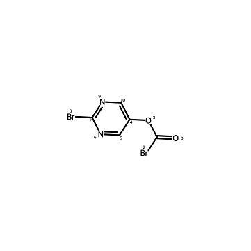 O=C(Br)Oc1cnc(Br)nc1